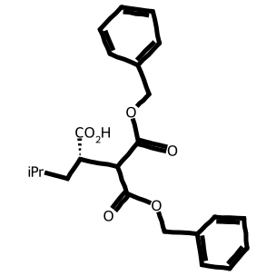 CC(C)C[C@H](C(=O)O)C(C(=O)OCc1ccccc1)C(=O)OCc1ccccc1